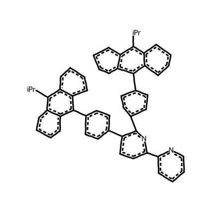 CC(C)c1c2ccccc2c(-c2ccc(-c3ccc(-c4ccccn4)nc3-c3ccc(-c4c5ccccc5c(C(C)C)c5ccccc45)cc3)cc2)c2ccccc12